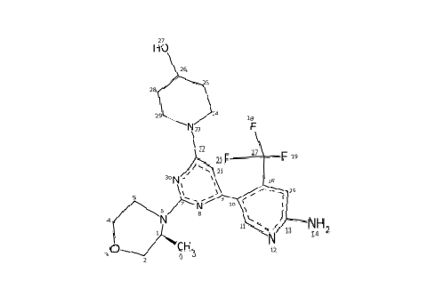 C[C@H]1COCCN1c1nc(-c2cnc(N)cc2C(F)(F)F)cc(N2CCC(O)CC2)n1